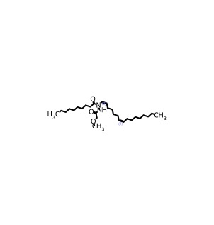 CCCCCCCC/C=C\CCCC/C=C\N(NC(=O)COC)C(=O)CCCCCCCCC